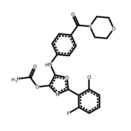 NC(=O)Oc1nc(-c2c(F)cccc2Cl)oc1Nc1ccc(C(=O)N2CCOCC2)cc1